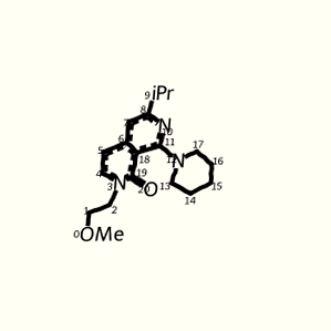 COCCn1ccc2cc(C(C)C)nc(N3CCCCC3)c2c1=O